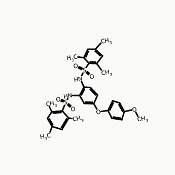 COc1ccc(Oc2ccc(NS(=O)(=O)c3c(C)cc(C)cc3C)c(NS(=O)(=O)c3c(C)cc(C)cc3C)c2)cc1